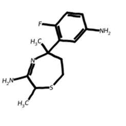 CC1SCCC(C)(c2cc(N)ccc2F)N=C1N